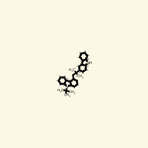 CC(C)(Cc1cccc2c1c1ccccc1n2C(C)(C)C)c1ccc2[nH]c3ccccc3c2c1